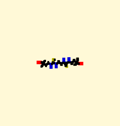 CC(C)(O)CCNC(=S)NCCNC(=S)NCCC(C)(C)O